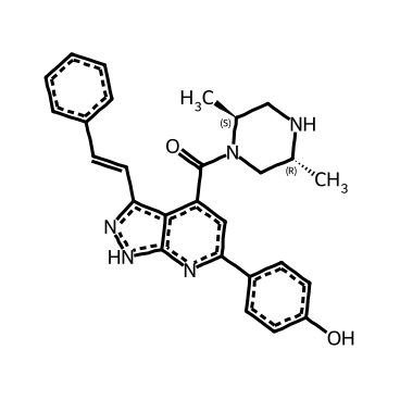 C[C@@H]1CN(C(=O)c2cc(-c3ccc(O)cc3)nc3[nH]nc(C=Cc4ccccc4)c23)[C@@H](C)CN1